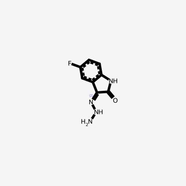 NN/N=C1\C(=O)Nc2ccc(F)cc21